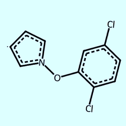 Clc1ccc(Cl)c(On2c[c]cc2)c1